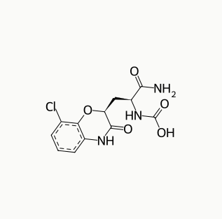 NC(=O)[C@H](C[C@@H]1Oc2c(Cl)cccc2NC1=O)NC(=O)O